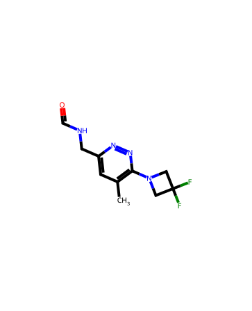 Cc1cc(CNC=O)nnc1N1CC(F)(F)C1